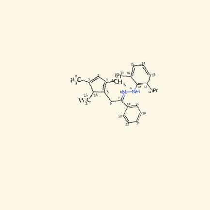 CC1=CC(C)=C(CC(=NNc2c(C(C)C)cccc2C(C)C)c2ccccc2)C1C